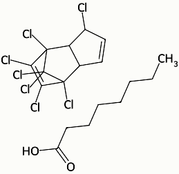 CCCCCCCC(=O)O.ClC1=C(Cl)C2(Cl)C3C(Cl)C=CC3C1(Cl)C2(Cl)Cl